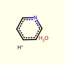 O.[H+].c1ccncc1